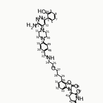 Nc1nnc(-c2ccccc2O)cc1N1CCN(c2ccc(CNCCOCCCc3cccc4c3oc(=O)n4C3CCC(=O)NC3=O)cc2)CC1